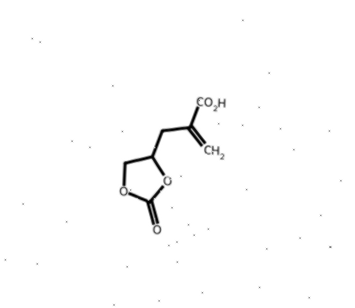 C=C(CC1COC(=O)O1)C(=O)O